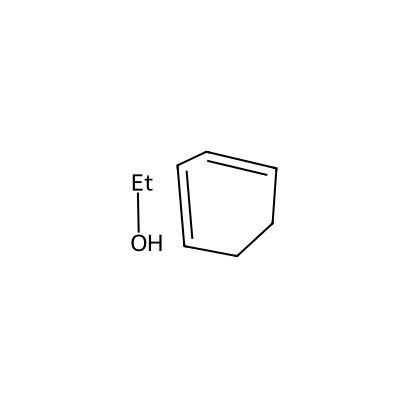 C1=CCCC=C1.CCO